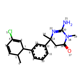 CC1C=CC(Cl)=CC1c1cccc(C2(C)CC(=O)N(C)C(N)=N2)c1